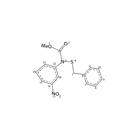 COC(=O)N(SCc1ccccc1)c1cccc([N+](=O)[O-])c1